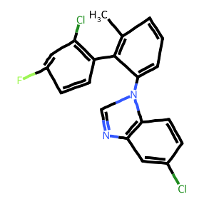 Cc1cccc(-n2cnc3cc(Cl)ccc32)c1-c1ccc(F)cc1Cl